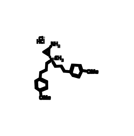 COc1ccc(CCC[N+](C)(CCCc2ccc(OC)cc2)[C@@H]2C[C@H]2N)cc1.Cl.[Cl-]